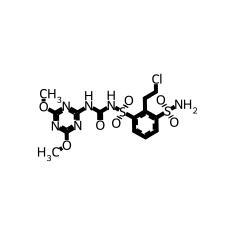 COc1nc(NC(=O)NS(=O)(=O)c2cccc(S(N)(=O)=O)c2CCCl)nc(OC)n1